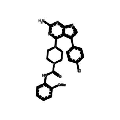 COc1ccccc1NC(=O)N1CCN(c2nc(N)nc3scc(-c4ccc(Cl)cc4)c23)CC1